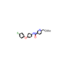 COCc1ccc(C(=O)Nc2ccc(Oc3ccc(F)cc3)cc2)cn1